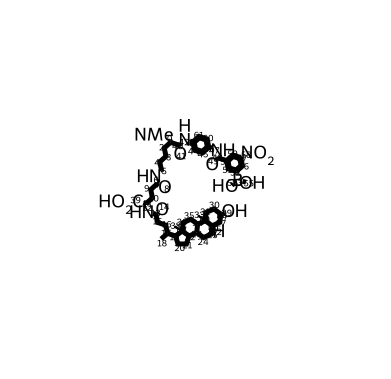 CNC(CCCCNC(=O)CCC(NC(=O)CCC(C)C1CCC2C3CC[C@H]4C[C@@H](O)CC[C@@]4(C)C3CC[C@@]12C)C(=O)O)C(=O)Nc1ccc(NC(=O)c2cc(B(O)O)cc([N+](=O)[O-])c2)cc1